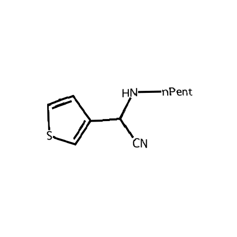 CCCCCNC(C#N)c1ccsc1